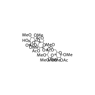 COC(=O)C(CC(OC)C(OC)[C@@H](OC)O[C@@H]1C(COC(C)=O)O[C@H](OC)C(OC(C)=O)C1OC)O[C@@H]1OC(COC(C)=O)[C@@H](O[C@@H]2OC(C(=O)OC)[C@@H](O)C(OC)C2OC)C(OC(C)=O)C1OC(C)=O